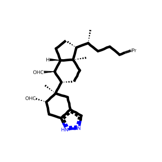 CC(C)CCC[C@@H](C)[C@H]1CC[C@H]2[C@H](C=O)[C@@H]([C@@]3(C)Cc4cn[nH]c4C[C@@H]3C=O)CC[C@]12C